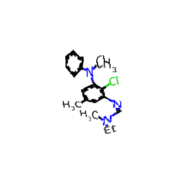 CCN(C)/C=N\c1cc(C)cc(N(C)c2ccccc2)c1Cl